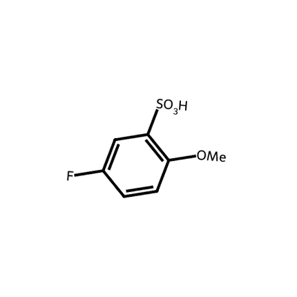 COc1ccc(F)cc1S(=O)(=O)O